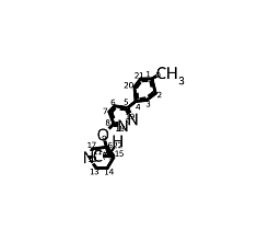 Cc1ccc(-c2ccc(O[C@H]3CN4CCC3CC4)nn2)cc1